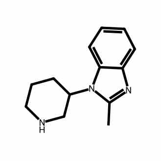 Cc1nc2ccccc2n1C1CCCNC1